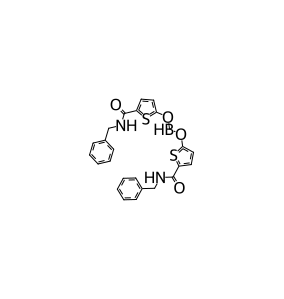 O=C(NCc1ccccc1)c1ccc(OBOc2ccc(C(=O)NCc3ccccc3)s2)s1